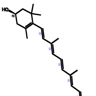 C/C=C/C=C(C)/C=C/C=C(C)/C=C/C1=C(C)C[C@@H](O)CC1(C)C